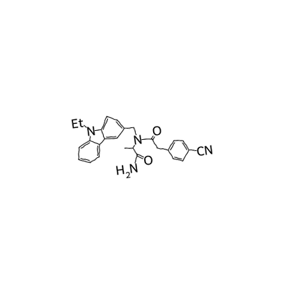 CCn1c2ccccc2c2cc(CN(C(=O)Cc3ccc(C#N)cc3)C(C)C(N)=O)ccc21